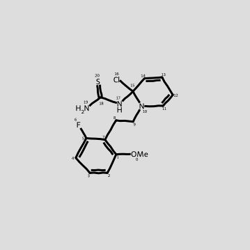 COc1cccc(F)c1CCN1C=CC=CC1(Cl)NC(N)=S